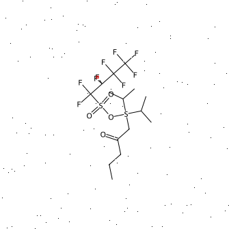 CCCC(=O)CS(OS(=O)(=O)C(F)(F)C(F)(F)C(F)(F)C(F)(F)F)(C(C)C)C(C)C